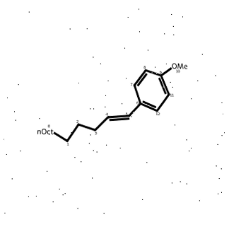 CCCCCCCCCCCC=Cc1ccc(OC)cc1